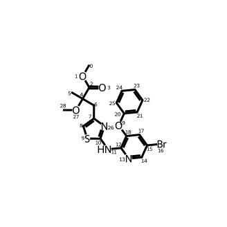 COC(=O)C(C)(Cc1csc(Nc2ncc(Br)cc2Oc2ccccc2)n1)OC